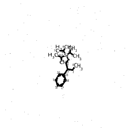 CCC(CC[Si](C(C)C)(C(C)C)C(C)C)c1ccccc1